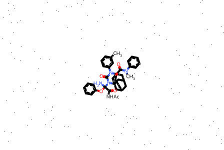 CC(=O)NC(=O)C(N)(Oc1ccccc1)N(C(=O)N(CC(=O)N(C)c1ccccc1)c1cccc(C)c1)C12CC3CC(CC(C3)C1)C2